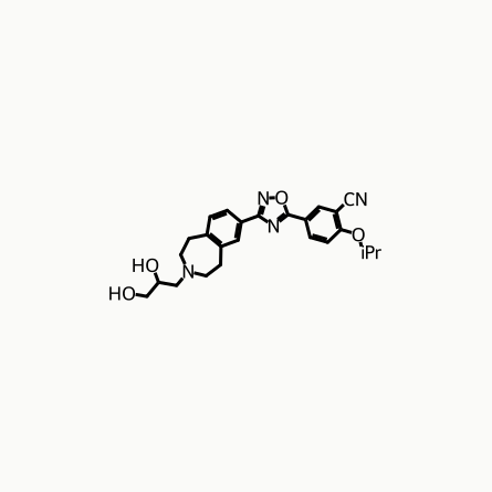 CC(C)Oc1ccc(-c2nc(-c3ccc4c(c3)CCN(CC(O)CO)CC4)no2)cc1C#N